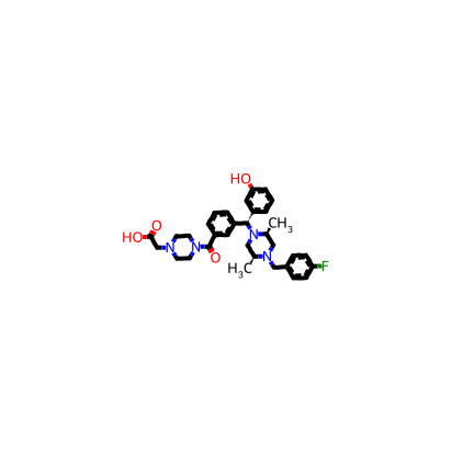 C[C@@H]1CN([C@@H](c2cccc(O)c2)c2cccc(C(=O)N3CCN(CC(=O)O)CC3)c2)[C@@H](C)CN1Cc1ccc(F)cc1